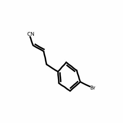 N#CC=CCc1ccc(Br)cc1